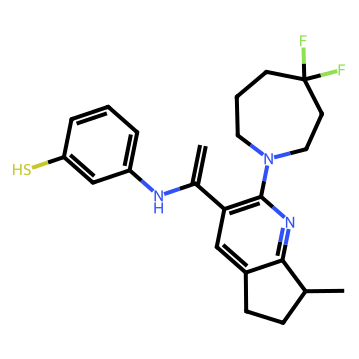 C=C(Nc1cccc(S)c1)c1cc2c(nc1N1CCCC(F)(F)CC1)C(C)CC2